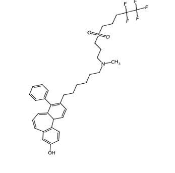 CN(CCCCCCC1=C(c2ccccc2)C2=CC=Cc3cc(O)ccc3C2C=C1)CCCS(=O)(=O)CCCC(F)(F)C(F)(F)F